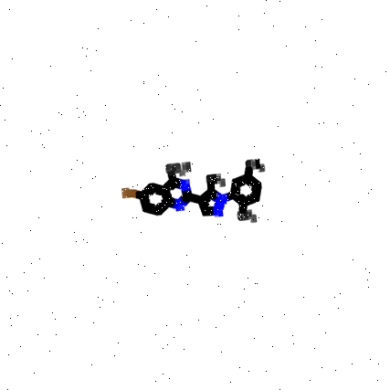 Cc1ccc(C)c(-n2ncc(-c3nc(C(=O)O)c4cc(Br)ccc4n3)c2C)c1